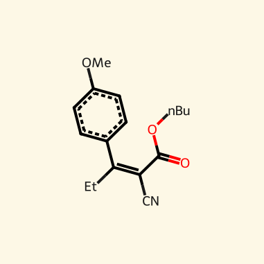 CCCCOC(=O)C(C#N)=C(CC)c1ccc(OC)cc1